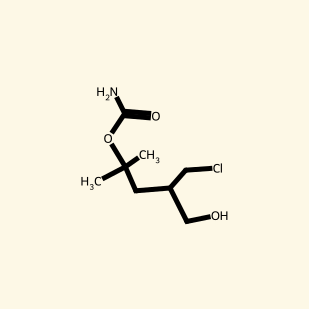 CC(C)(CC(CO)CCl)OC(N)=O